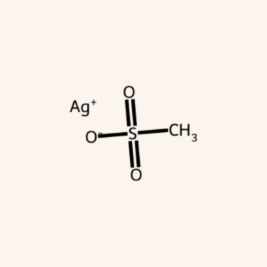 CS(=O)(=O)[O-].[Ag+]